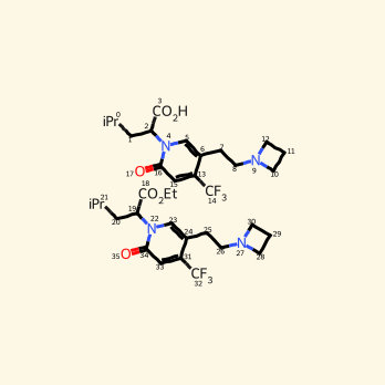 CC(C)CC(C(=O)O)n1cc(CCN2CCC2)c(C(F)(F)F)cc1=O.CCOC(=O)C(CC(C)C)n1cc(CCN2CCC2)c(C(F)(F)F)cc1=O